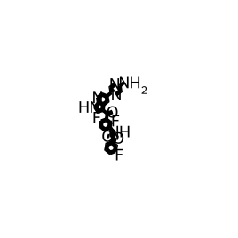 Nc1cnc(-c2cnc3[nH]cc(C(=O)c4c(F)ccc(NS(=O)(=O)c5cccc(F)c5)c4F)c3c2)cn1